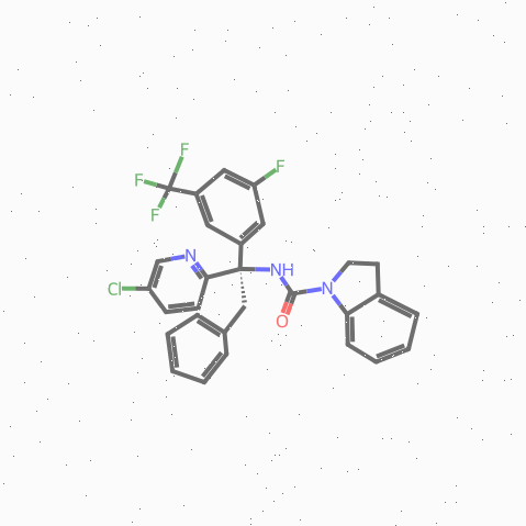 O=C(N[C@](Cc1ccccc1)(c1cc(F)cc(C(F)(F)F)c1)c1ccc(Cl)cn1)N1CCc2ccccc21